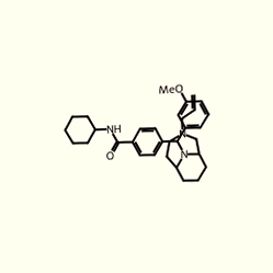 C=CCN1CCC2CCCC(C1)N2C(c1ccc(C(=O)NC2CCCCC2)cc1)c1cccc(OC)c1